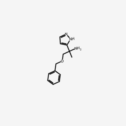 CC(N)(COCc1ccccc1)c1ccn[nH]1